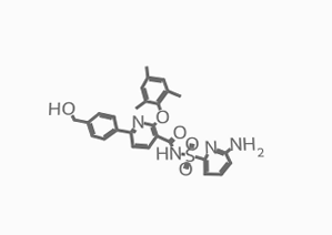 Cc1cc(C)c(Oc2nc(-c3ccc(CO)cc3)ccc2C(=O)NS(=O)(=O)c2cccc(N)n2)c(C)c1